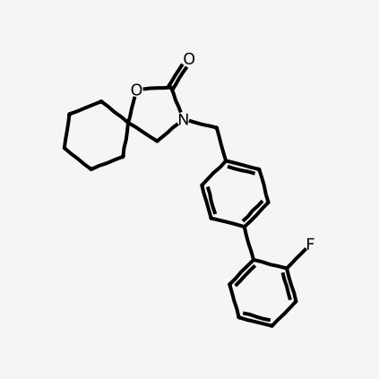 O=C1OC2(CCCCC2)CN1Cc1ccc(-c2ccccc2F)cc1